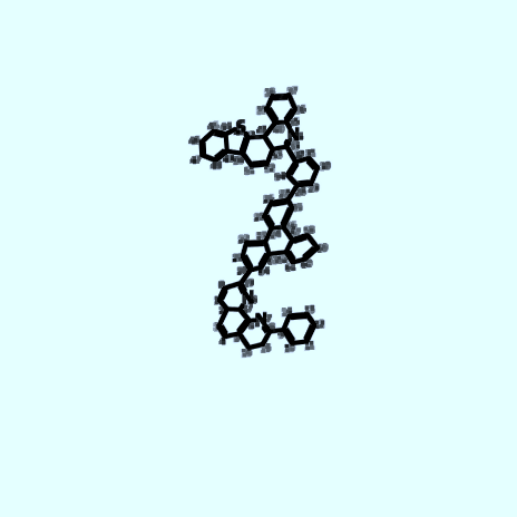 C1=CC2C=CC3=C(N=C(c4ccccc4)CC3)C2N=C1c1ccc2c3ccc(-c4cccc(C5=Nc6ccccc6C6c7sc8ccccc8c7C=CC56)c4)cc3c3ccccc3c2c1